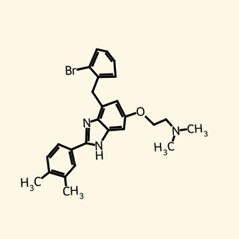 Cc1ccc(-c2nc3c(Cc4ccccc4Br)cc(OCCN(C)C)cc3[nH]2)cc1C